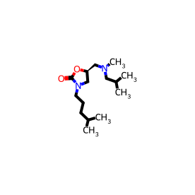 CC(C)CCCN1C[C@H](CN(C)CC(C)C)OC1=O